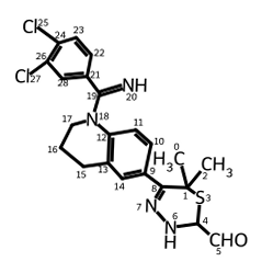 CC1(C)SC(C=O)NN=C1c1ccc2c(c1)CCCN2C(=N)c1ccc(Cl)c(Cl)c1